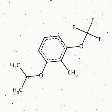 Cc1c(OC(C)C)cccc1OC(F)(F)F